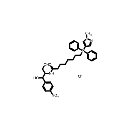 Cn1cc([P+](CCCCCCCC(=O)NC(CO)C(O)c2ccc([N+](=O)[O-])cc2)(c2ccccc2)c2ccccc2)cn1.[Cl-]